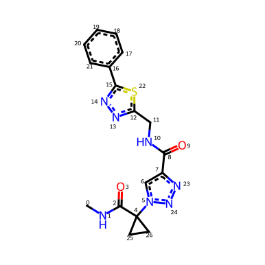 CNC(=O)C1(n2cc(C(=O)NCc3nnc(-c4ccccc4)s3)nn2)CC1